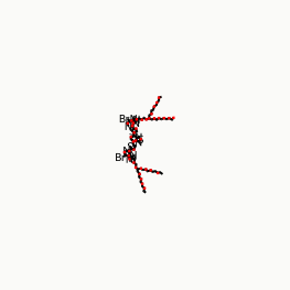 CCCCCCCCCCC(CCCCCCCCCC)CCCCn1nc2c(Br)cnc(-c3ccc(-c4ccc(-c5ccc(-c6ncc(Br)c7nn(CCCCC(CCCCCCCCCC)CCCCCCCCCC)nc67)s5)c5nsnc45)s3)c2n1